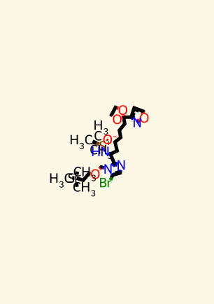 CC(C)(C)[S@@+]([O-])NC(CCCCCC1(c2ccon2)OCCO1)c1ncc(Br)n1COCC[Si](C)(C)C